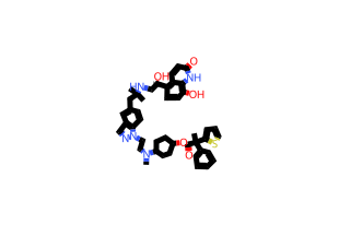 CN(CCn1ncc2cc(CC(C)(C)NC[C@@H](O)c3ccc(O)c4[nH]c(=O)ccc34)ccc21)C1CCC(OC(=O)C(C)(c2ccccc2)c2cccs2)CC1